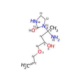 C=CCOCC(O)CC(C)(N)N1CCNC1=O